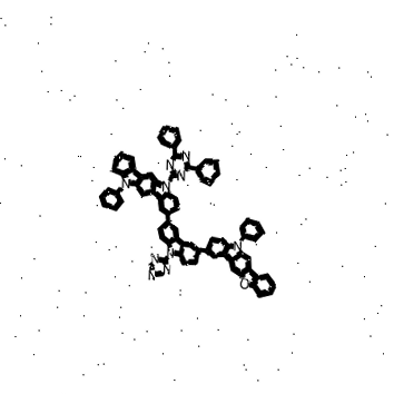 c1ccc(-c2nc(-c3ccccc3)nc(-n3c4ccc(-c5ccc6c(c5)c5cc(-c7ccc8c(c7)c7cc9oc%10ccccc%10c9cc7n8-c7ccccc7)ccc5n6-c5ncncn5)cc4c4cc5c(cc43)c3ccccc3n5-c3ccccc3)n2)cc1